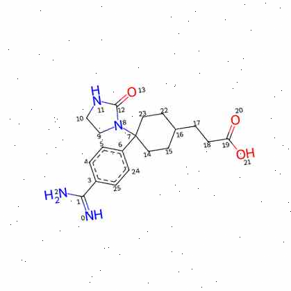 N=C(N)c1ccc(C2(N3CCNC3=O)CCC(CCC(=O)O)CC2)cc1